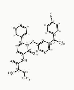 CN[C@@H](C)C(=O)Nc1ccc(-c2ccccc2)n(Cc2cccc(N(C)c3ccc(F)cc3)c2)c1=O